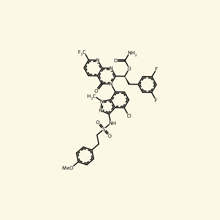 COc1ccc(CCS(=O)(=O)Nc2nn(C)c3c(-n4c([C@H](Cc5cc(F)cc(F)c5)OC(N)=O)nc5nc(C(F)(F)F)ccc5c4=O)ccc(Cl)c23)cc1